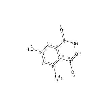 Cc1cc(O)cc(C(=O)O)c1[N+](=O)[O-]